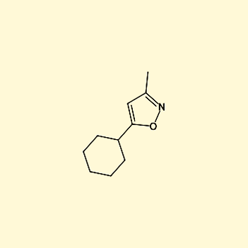 Cc1cc(C2CCCCC2)on1